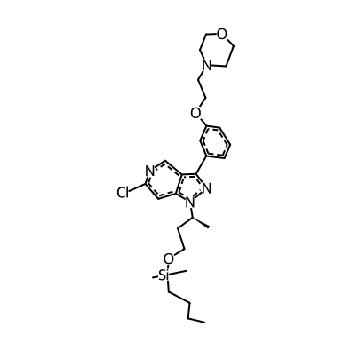 CCCC[Si](C)(C)OCC[C@H](C)n1nc(-c2cccc(OCCN3CCOCC3)c2)c2cnc(Cl)cc21